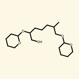 CC(CCCC(CO)OC1CCCCO1)COC1CCCCO1